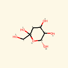 OCC1(O)CC(O)C(O)[C@H](O)O1